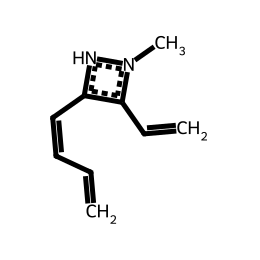 C=C/C=C\c1[nH]n(C)c1C=C